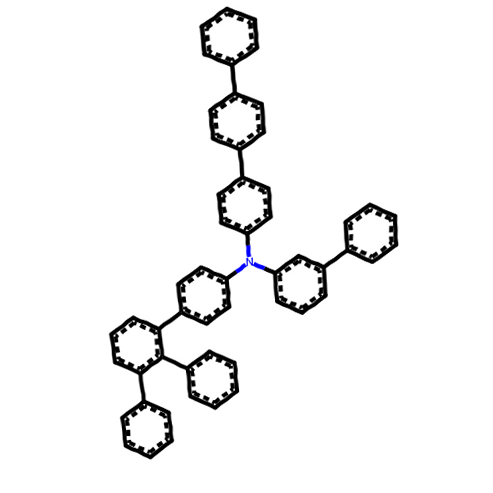 c1ccc(-c2ccc(-c3ccc(N(c4ccc(-c5cccc(-c6ccccc6)c5-c5ccccc5)cc4)c4cccc(-c5ccccc5)c4)cc3)cc2)cc1